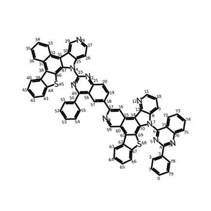 c1ccc(-c2nc(-n3c4cccnc4c4c5cc(-c6ccc7nc(-n8c9ccncc9c9c%10ccccc%10c%10c%11ccccc%11sc%10c98)nc(-c8ccccc8)c7c6)ncc5c5c6ccccc6sc5c43)c3ccccc3n2)cc1